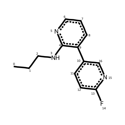 CCCNc1ncccc1-c1ccc(F)nc1